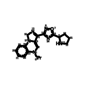 CC(C)N1C=C2C(c3noc(C4CCCN4)n3)=NCN2c2ccccc21